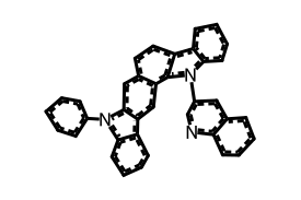 c1ccc(-n2c3ccccc3c3cc4c(ccc5c6ccccc6n(-c6cnc7ccccc7c6)c45)cc32)cc1